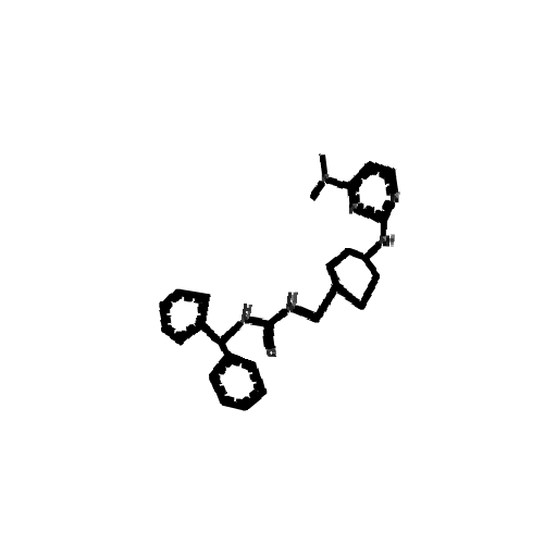 CN(C)c1ccnc(NC2CCC(CNC(=O)NC(c3ccccc3)c3ccccc3)CC2)n1